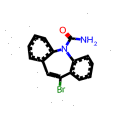 NC(=O)N1c2ccccc2C=C(Br)c2ccccc21